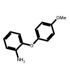 COc1ccc(Oc2ccccc2N)cc1